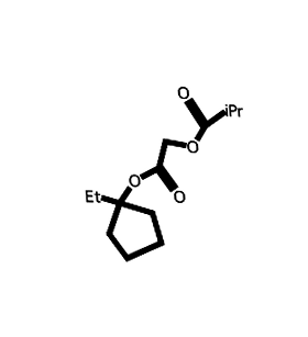 CCC1(OC(=O)COC(=O)C(C)C)CCCC1